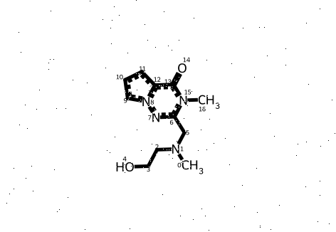 CN(CCO)Cc1nn2cccc2c(=O)n1C